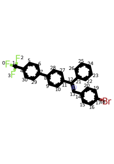 FC(F)(F)c1ccc(-c2ccc(/C(=C/c3ccc(Br)cc3)c3ccccc3)cc2)cc1